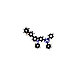 c1ccc(-c2nc(-c3ccccc3)nc(-c3ccc4c5cc(-c6ccc7c(c6)sc6ccccc67)ccc5n(-c5ccccc5)c4c3)n2)cc1